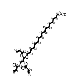 C=CC(=O)OCC(COC(CCCCCCCCCCCCCCCCCCCCCCCCC)OC(=O)C=C)OC(=O)C=C